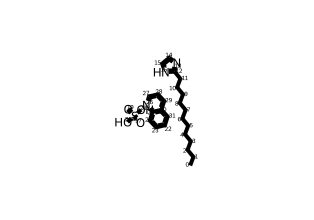 CCCCCCCCCCCCc1ncc[nH]1.O=S(=O)(O)O.c1ccc2ncccc2c1